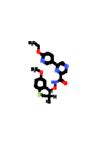 [2H]C([2H])([2H])[C@@H](ONC(=O)c1cncc(-c2ccc(OCC)nc2)n1)c1cc(OC)ccc1F